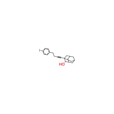 OC1C2CC3CC(C2)CC1(C#CCCc1ccc(I)cc1)C3